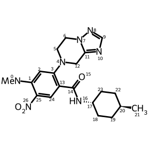 CNc1cc(N2CCn3ncnc3C2)c(C(=O)N[C@H]2CC[C@H](C)CC2)cc1[N+](=O)[O-]